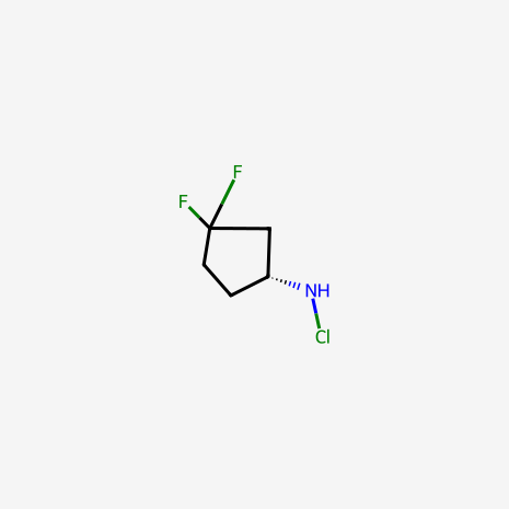 FC1(F)CC[C@@H](NCl)C1